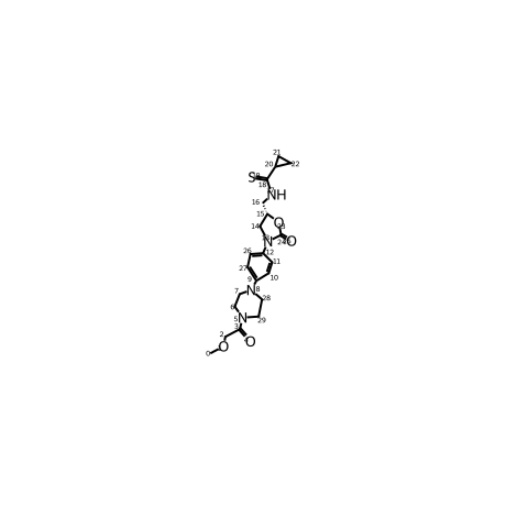 COCC(=O)N1CCN(c2ccc(N3C[C@H](CNC(=S)C4CC4)OC3=O)cc2)CC1